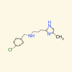 Cc1c[nH]c(CCCNCc2ccc(Cl)cc2)n1